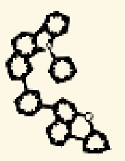 c1ccc(-n2c3ccccc3c3ccc4ccc(-c5cccc(-c6ccc7c8c(cccc68)-c6ccccc6O7)c5)cc4c32)cc1